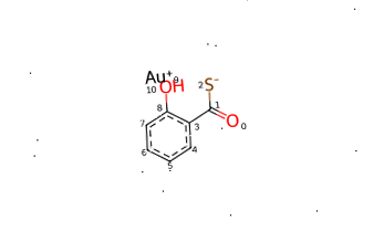 O=C([S-])c1ccccc1O.[Au+]